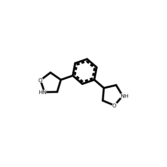 c1cc(C2CNOC2)cc(C2CNOC2)c1